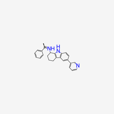 C[C@@H](NC1CCCc2c1[nH]c1ccc(-c3cccnc3)cc21)c1ccccc1